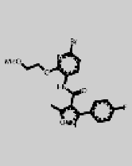 COCCOc1nc(Br)ccc1NC(=O)c1c(-c2ccc(F)cc2)noc1C